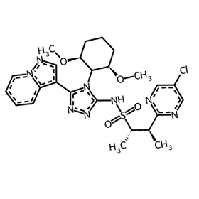 CO[C@H]1CCC[C@@H](OC)C1n1c(NS(=O)(=O)[C@@H](C)[C@H](C)c2ncc(Cl)cn2)nnc1-c1cnn2ccccc12